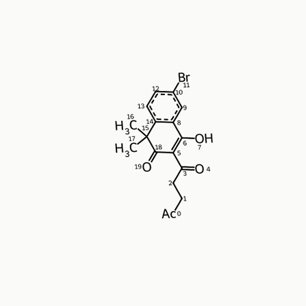 CC(=O)CCC(=O)C1=C(O)c2cc(Br)ccc2C(C)(C)C1=O